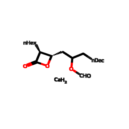 CCCCCCCCCCCC(C[C@@H]1OC(=O)[C@H]1CCCCCC)OC=O.[CaH2]